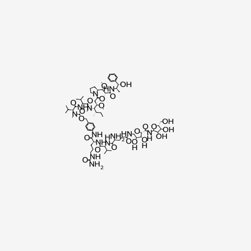 CC[C@H](C)[C@@H]([C@@H](CC(=O)N1CCC[C@H]1[C@H](OC)[C@@H](C)C(=O)N[C@H](C)[C@@H](O)c1ccccc1)OC)N(C)C(=O)[C@@H](NC(=O)[C@H](C(C)C)N(C)C(=O)OCc1ccc(NC(=O)[C@H](CCCNC(N)=O)NC(=O)[C@@H](NC(=O)[C@@H](N)CCC(=O)NC2O[C@H](C(=O)NC3O[C@H](CO)[C@@H](O)[C@H]3O)[C@@H](O)[C@H]2O)C(C)C)cc1)C(C)C